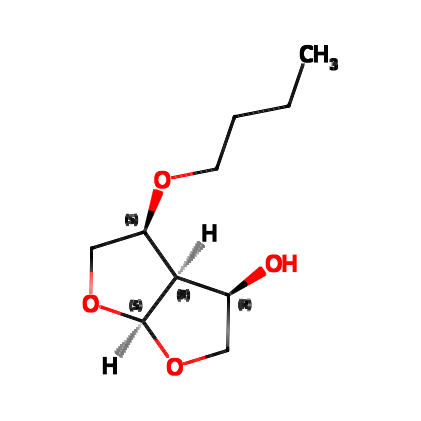 CCCCO[C@@H]1CO[C@@H]2OC[C@H](O)[C@@H]21